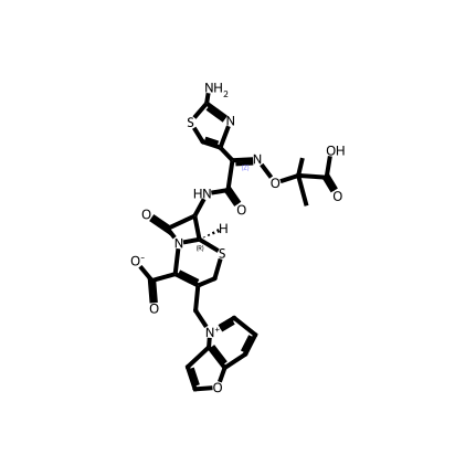 CC(C)(O/N=C(\C(=O)NC1C(=O)N2C(C(=O)[O-])=C(C[n+]3cccc4occc43)CS[C@H]12)c1csc(N)n1)C(=O)O